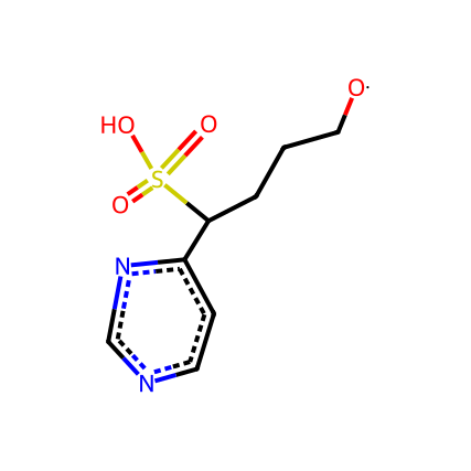 [O]CCCC(c1ccncn1)S(=O)(=O)O